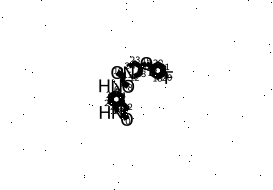 O=C1Cc2cc(NC(=O)C(=O)N3CCC(Oc4ccc(F)cc4)CC3)ccc2N1